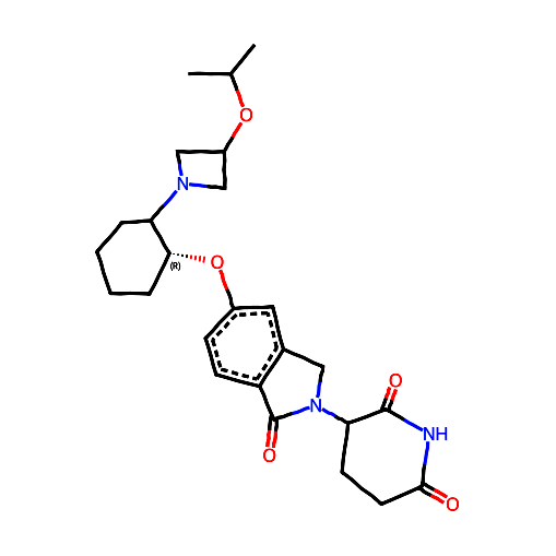 CC(C)OC1CN(C2CCCC[C@H]2Oc2ccc3c(c2)CN(C2CCC(=O)NC2=O)C3=O)C1